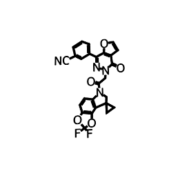 N#Cc1cccc(-c2nn(CC(=O)N3CC4(CC4)c4c3ccc3c4OC(F)(F)O3)c(=O)c3ccoc23)c1